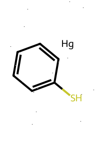 Sc1ccccc1.[Hg]